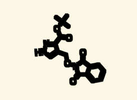 CC(C)(C)OC(=O)c1n[nH]cc1CON1C(=O)c2ccccc2C1=O